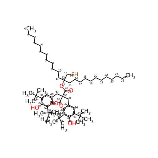 CCCCCCCCCCCCC(CS)(CCCCCCCCCCCC)OC(=O)C(Cc1cc(C(C)(C)C)c(O)c(C(C)(C)C)c1)(Cc1cc(C(C)(C)C)c(O)c(C(C)(C)C)c1)C(=O)O